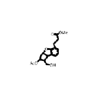 COC(=O)CCc1cccc2c1OC1CC(OC(C)=O)C(CO)C21